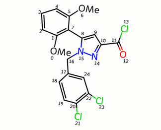 COc1cccc(OC)c1-c1cc(C(=O)Cl)nn1Cc1ccc(Cl)c(Cl)c1